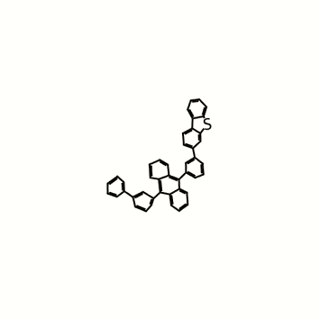 c1ccc(-c2cccc(-c3c4ccccc4c(-c4cccc(-c5ccc6c(c5)sc5ccccc56)c4)c4ccccc34)c2)cc1